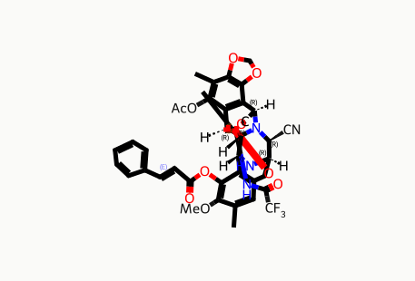 COc1c(C)cc2c(c1OC(=O)/C=C/c1ccccc1)[C@H]1N[C@H](C2)[C@H](C#N)N2[C@H]1[C@@H]1SCC(NC(=O)C(F)(F)F)C(=O)OC[C@H]2c2c3c(c(C)c(OC(C)=O)c21)OCO3